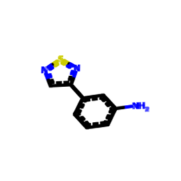 Nc1cccc(-c2cnsn2)c1